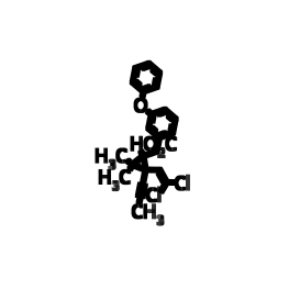 CC#CC1(C=C(Cl)Cl)C(C)(C)C1(Cc1cccc(Oc2ccccc2)c1)C(=O)O